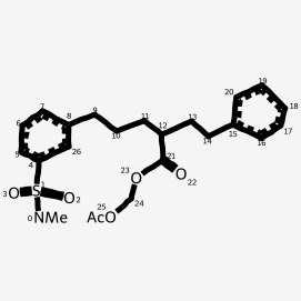 CNS(=O)(=O)c1cccc(CCCC(CCc2ccccc2)C(=O)OCOC(C)=O)c1